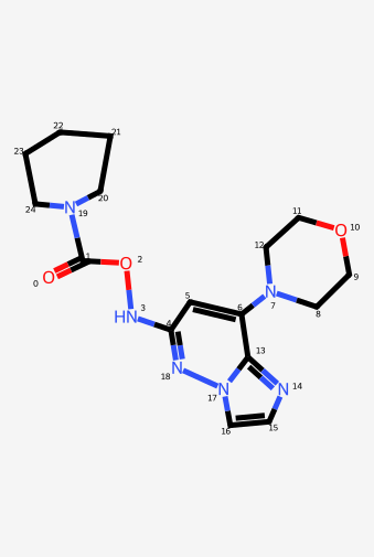 O=C(ONc1cc(N2CCOCC2)c2nccn2n1)N1CCCCC1